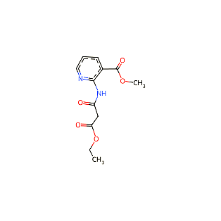 CCOC(=O)CC(=O)Nc1ncccc1C(=O)OC